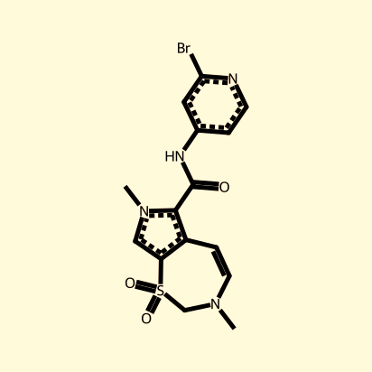 CN1C=Cc2c(cn(C)c2C(=O)Nc2ccnc(Br)c2)S(=O)(=O)C1